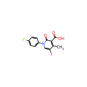 Cc1c(I)cn(-c2ccc(F)cc2)c(=O)c1C(=O)O